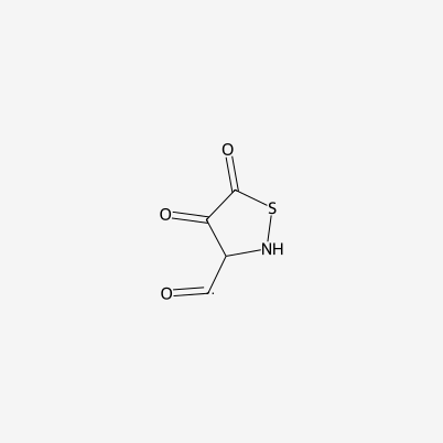 O=[C]C1NSC(=O)C1=O